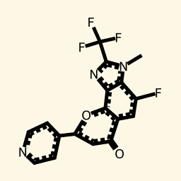 Cn1c(C(F)(F)F)nc2c3oc(-c4ccncc4)cc(=O)c3cc(F)c21